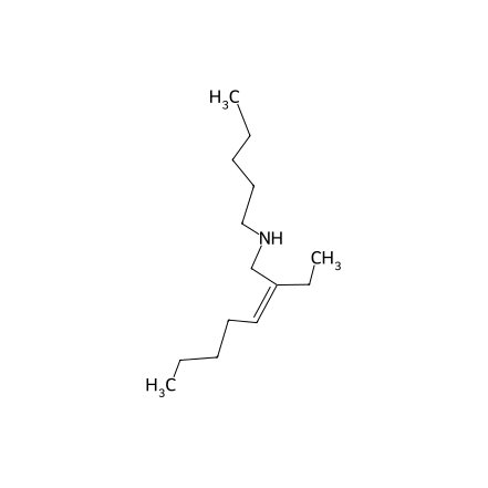 CCCCC=C(CC)CNCCCCC